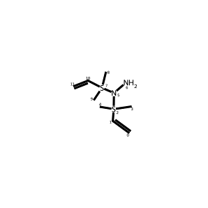 C=CS(C)(C)N(N)S(C)(C)C=C